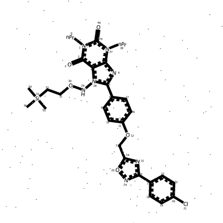 CCCn1c(=O)c2c(nc(-c3ccc(OCc4nc(-c5ccc(Cl)cc5)no4)cc3)n2NOCC[Si](C)(C)C)n(CCC)c1=O